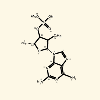 CCC[C@H]1O[C@@H](n2cnc3c(N)nc(N)nc32)C(OC)C1OP(=O)(O)OC